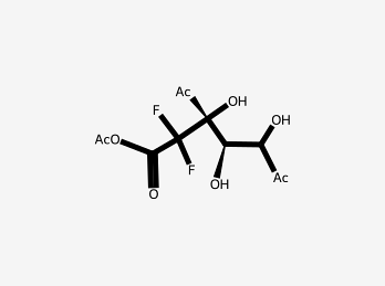 CC(=O)OC(=O)C(F)(F)[C@@](O)(C(C)=O)[C@H](O)C(O)C(C)=O